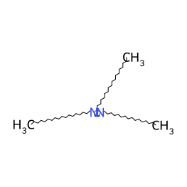 CCCCCCCCCCCCCCCCCCN1C=CN(CCCCCCCCCCCCCCCC)C1CCCCCCCCCCCCCCCCC